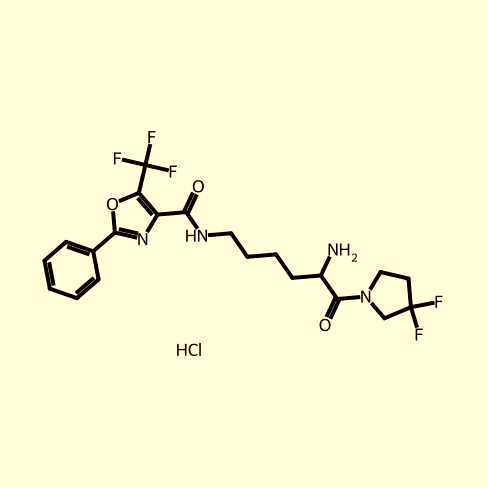 Cl.NC(CCCCNC(=O)c1nc(-c2ccccc2)oc1C(F)(F)F)C(=O)N1CCC(F)(F)C1